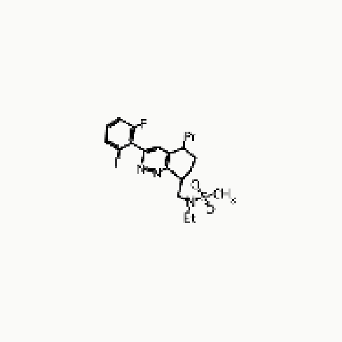 CCN(CC1CCC(C(C)C)c2cc(-c3c(F)cccc3F)nnc21)S(C)(=O)=O